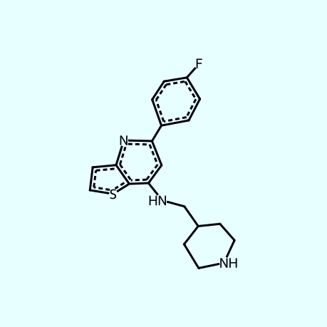 Fc1ccc(-c2cc(NCC3CCNCC3)c3sccc3n2)cc1